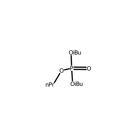 CCCOP(=O)(OCC(C)C)OCC(C)C